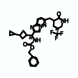 O=C(N[C@H](c1cn2nc(CC3C[C@@H](C(F)(F)F)CNC3=O)ccc2n1)C1CC(C2CC2)C1)OCc1ccccc1